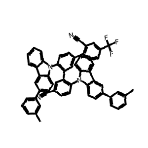 Cc1cccc(-c2ccc3c(c2)c2ccccc2n3-c2ccc(C#N)cc2-c2cc(-c3ccc(C(F)(F)F)cc3C#N)ccc2-n2c3ccccc3c3cc(-c4cccc(C)c4)ccc32)c1